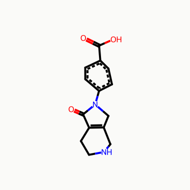 O=C(O)c1ccc(N2CC3=C(CCNC3)C2=O)cc1